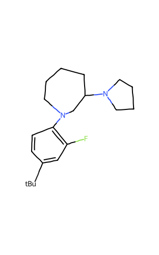 CC(C)(C)c1ccc(N2CCCCC(N3CCCC3)C2)c(F)c1